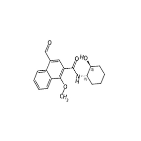 COc1c(C(=O)N[C@H]2CCCC[C@@H]2O)cc(C=O)c2ccccc12